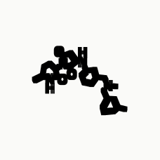 C=C1CCC(N2C(=O)C=C(Nc3cccc(CN(C)Cc4cccc(C)c4)c3)C2=O)C(=O)N1